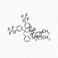 C=C(C)N(C)/C=C(\N)S(=O)(=O)NCC(Cc1ccccc1)(c1cccc(OC(F)(F)F)c1)c1cccc(OC(F)(F)F)c1